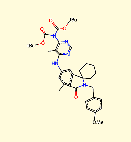 COc1ccc(CN2C(=O)c3c(C)cc(Nc4ncnc(N(C(=O)OC(C)(C)C)C(=O)OC(C)(C)C)c4C)cc3C23CCCCC3)cc1